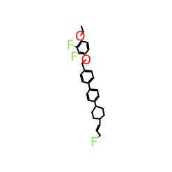 CCOc1ccc(OCc2ccc(-c3ccc(C4CCC(/C=C/CF)CC4)cc3)cc2)c(F)c1F